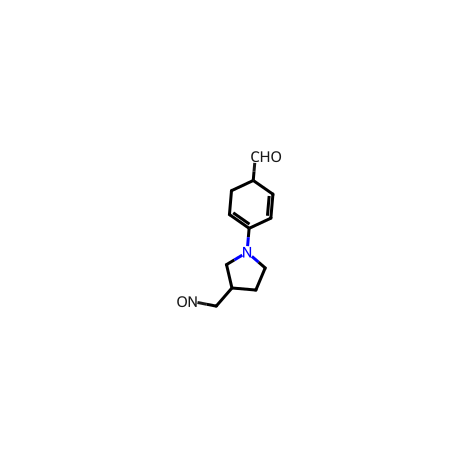 O=CC1C=CC(N2CCC(CN=O)C2)=CC1